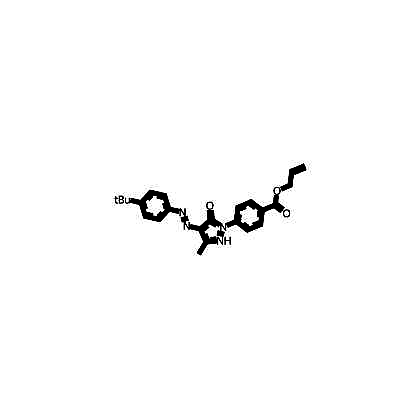 C=CCOC(=O)c1ccc(-n2[nH]c(C)c(N=Nc3ccc(C(C)(C)C)cc3)c2=O)cc1